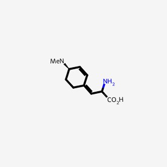 CN[C@H]1C=C/C(=C\C(N)C(=O)O)CC1